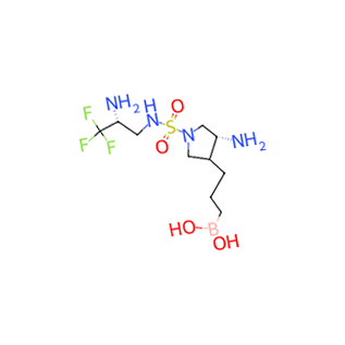 N[C@H](CNS(=O)(=O)N1CC(CCCB(O)O)[C@@H](N)C1)C(F)(F)F